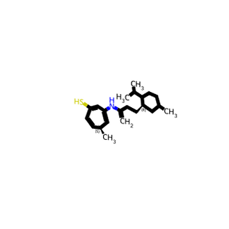 C=C(CC[C@@H]1CC(C)CCC1C(C)C)NC1=C[C@@H](C)C=CC(S)=C1